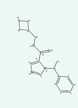 CC(c1ccccc1)n1cncc1C(=O)OCC1CSC1